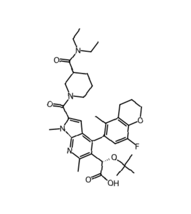 CCN(CC)C(=O)C1CCCN(C(=O)c2cc3c(-c4cc(F)c5c(c4C)CCCO5)c([C@H](OC(C)(C)C)C(=O)O)c(C)nc3n2C)C1